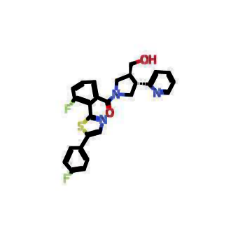 O=C(c1cccc(F)c1-c1ncc(-c2ccc(F)cc2)s1)N1C[C@@H](CO)[C@H](c2ccccn2)C1